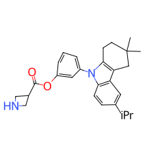 CC(C)c1ccc2c(c1)c1c(n2-c2cccc(OC(=O)C3CNC3)c2)CCC(C)(C)C1